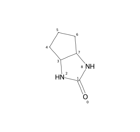 O=C1NC2CCCC2N1